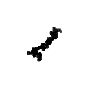 CCCN(CCCl)P(=O)(NCCCC[C@@H](C=O)NC(=O)c1ccc(NCc2cnc3nc(N)[nH]c(=O)c3n2)cc1)OCc1ccc(N=O)o1